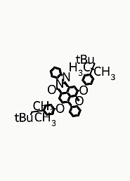 CC(C)(C)CC(C)(C)c1ccc(Oc2cc3c4c(cc(Oc5ccc(C(C)(C)CC(C)(C)C)cc5)c5c6ccccc6oc2c54)c(=O)n2c4ccccc4nc32)cc1